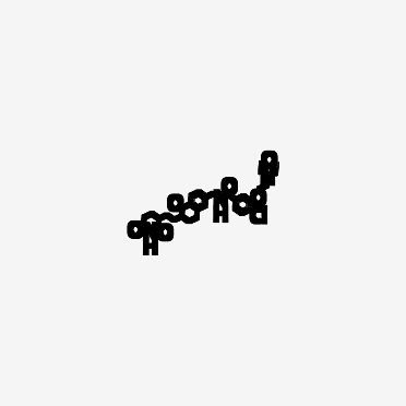 O=C1CCC(CCC2CCc3cc(CNC(=O)c4ccc(Cl)c(OCCN5CCOCC5)c4)ccc3C2=O)C(=O)N1